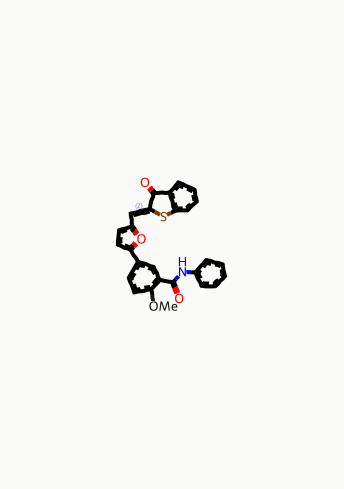 COc1ccc(-c2ccc(/C=C3\Sc4ccccc4C3=O)o2)cc1C(=O)Nc1ccccc1